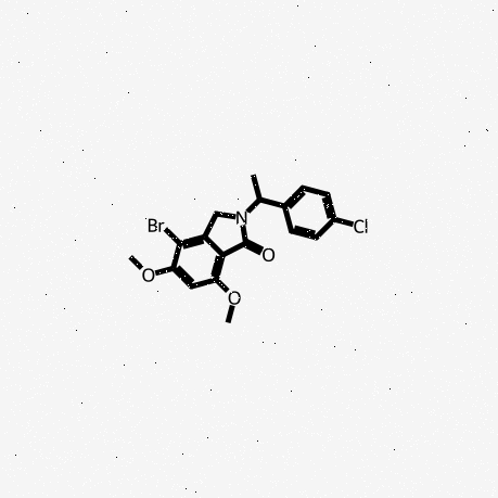 COc1cc(OC)c2c(c1Br)CN(C(C)c1ccc(Cl)cc1)C2=O